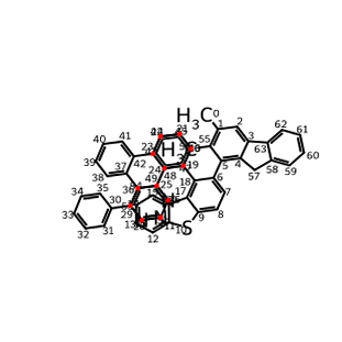 Cc1cc2c(c(-c3ccc4sc5ccccc5c4c3-c3ccccc3-c3nnnc(-c4ccccc4)c3-c3ccccc3-c3ccccc3-c3ccccc3)c1C)Cc1ccccc1-2